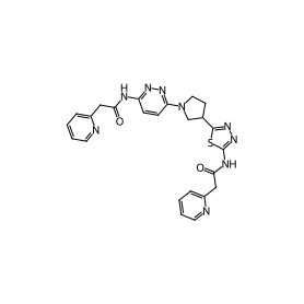 O=C(Cc1ccccn1)Nc1ccc(N2CCC(c3nnc(NC(=O)Cc4ccccn4)s3)C2)nn1